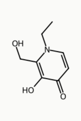 CCn1ccc(=O)c(O)c1CO